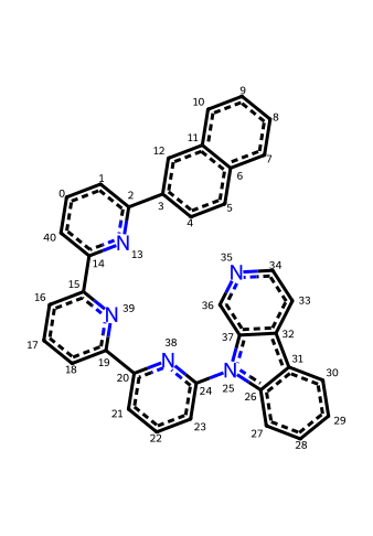 c1cc(-c2ccc3ccccc3c2)nc(-c2cccc(-c3cccc(-n4c5ccccc5c5ccncc54)n3)n2)c1